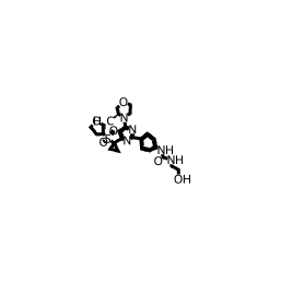 C[C@H]1COCCN1c1cc(C2(S(=O)(=O)C3CCOC3)CC2)nc(-c2ccc(NC(=O)NCCO)cc2)n1